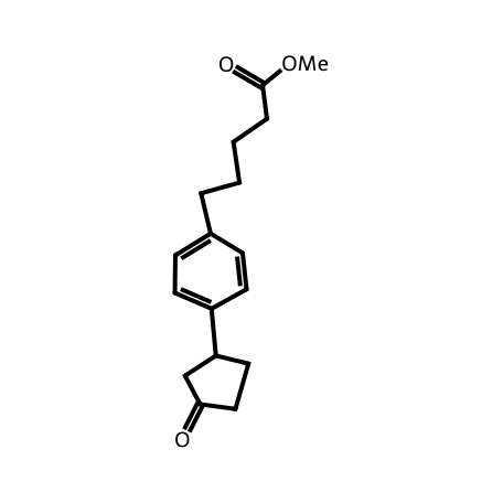 COC(=O)CCCCc1ccc(C2CCC(=O)C2)cc1